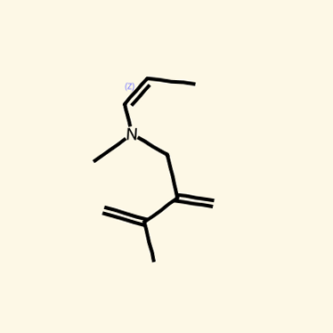 C=C(C)C(=C)CN(C)/C=C\C